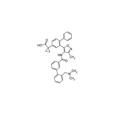 Cc1noc(-c2cc(C3(C(=O)O)CC3)ccc2-c2ccccc2)c1NC(=O)c1cccc(-c2ccccc2CN(C)C)c1